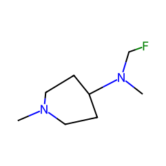 CN1CCC(N(C)CF)CC1